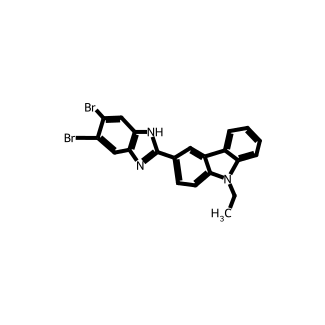 CCn1c2ccccc2c2cc(-c3nc4cc(Br)c(Br)cc4[nH]3)ccc21